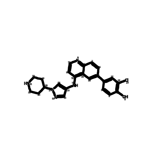 Oc1ccc(-c2ccc3nc[c]c(Nc4cnn(C5CCNCC5)c4)c3c2)cc1Cl